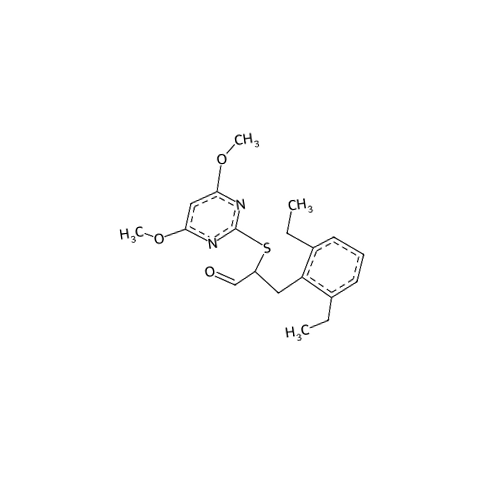 CCc1cccc(CC)c1CC(C=O)Sc1nc(OC)cc(OC)n1